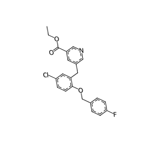 CCOC(=O)c1cncc(Cc2cc(Cl)ccc2OCc2ccc(F)cc2)c1